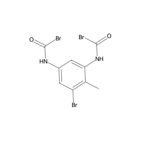 Cc1c(Br)cc(NC(=O)Br)cc1NC(=O)Br